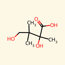 CC(C)(CO)C(C)(O)C(=O)O